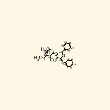 CC[C@@H](O)C(Cl)[C@H](CC)OC(=O)C(=Cc1ccccc1)OCc1ccccc1